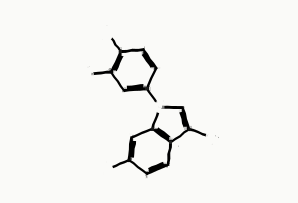 N#Cc1cn(-c2ccc(C(=O)O)c(O)c2)c2cc(C(F)(F)F)ccc12